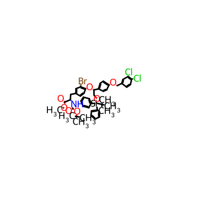 COC(=O)C(Cc1ccc(OC(CO[Si](c2ccccc2)(c2ccccc2)C(C)(C)C)c2ccc(OCc3ccc(Cl)c(Cl)c3)cc2)c(Br)c1)NC(=O)OC(C)(C)C